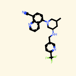 CC1C[C@@H](NCc2ccc(C(F)(F)F)nc2)CN(c2ccc(C#N)c3ncccc23)C1